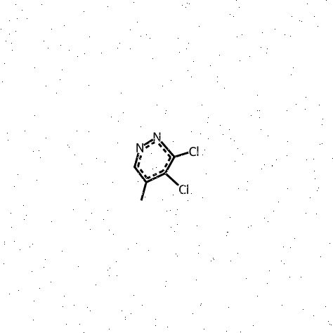 Cc1cnnc(Cl)c1Cl